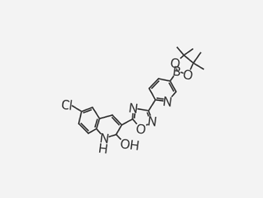 CC1(C)OB(c2ccc(-c3noc(C4=Cc5cc(Cl)ccc5NC4O)n3)nc2)OC1(C)C